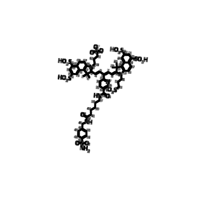 CC1(C)C(/C=C/C(=C/C=C2/N(CCCS(=O)(=O)O)c3ccc4c(S(=O)(=O)O)cc(S(=O)(=O)O)cc4c3C2(C)C)c2ccc(C(=O)NCCCCCC(=O)NCc3ccc(S(N)(=O)=O)cc3)cn2)=[N+](CCCS(=O)(=O)[O-])c2ccc3c(S(=O)(=O)O)cc(S(=O)(=O)O)cc3c21